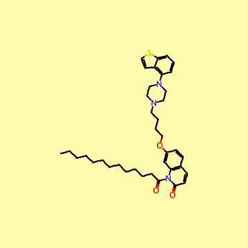 CCCCCCCCCCCCC(=O)n1c(=O)ccc2ccc(OCCCCN3CCN(c4cccc5sccc45)CC3)cc21